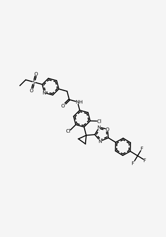 CCS(=O)(=O)c1ccc(CC(=O)Nc2cc(Cl)c(C3(c4noc(-c5ccc(C(F)(F)F)cc5)n4)CC3)c(Cl)c2)cn1